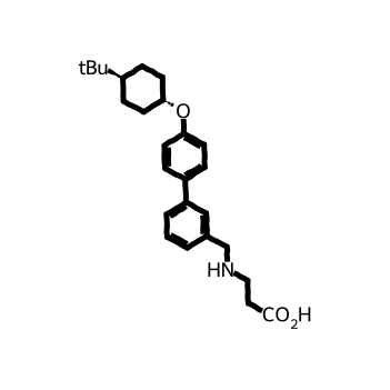 CC(C)(C)[C@H]1CC[C@H](Oc2ccc(-c3cccc(CNCCC(=O)O)c3)cc2)CC1